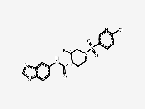 O=C(Nc1ccc2scnc2c1)[C@H]1CCN(S(=O)(=O)c2ccc(Cl)nc2)C[C@@H]1F